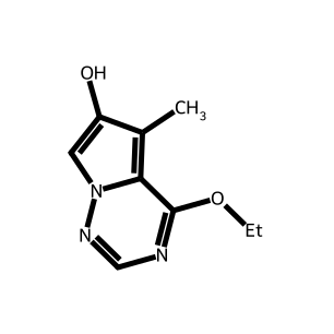 CCOc1ncnn2cc(O)c(C)c12